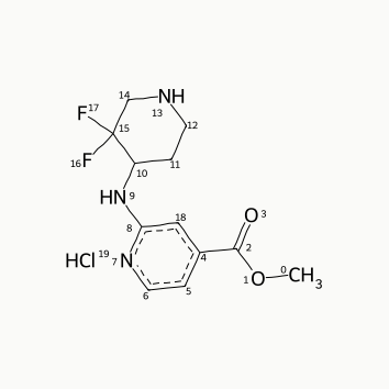 COC(=O)c1ccnc(NC2CCNCC2(F)F)c1.Cl